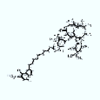 CC[C@H]1OC(=O)[C@H](C)[C@@H](O[C@H]2C[C@@](C)(OC)[C@@H](OC(=O)CCCCCOCCCc3ccc4c(c3)c(=O)c(C(=O)O)cn4CC)[C@H](C)O2)[C@@H]2CO[C@H]([C@@H](C)N(C)C[C@H](C)C[C@@](C)(O)[C@@H]2O[C@@H]2O[C@H](C)C[C@H](N(C)C)[C@H]2O)[C@]1(C)O